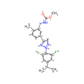 COC(=O)NCc1cc(-c2cnn(-c3c(F)cc(C(C)C)cc3F)n2)ccc1C